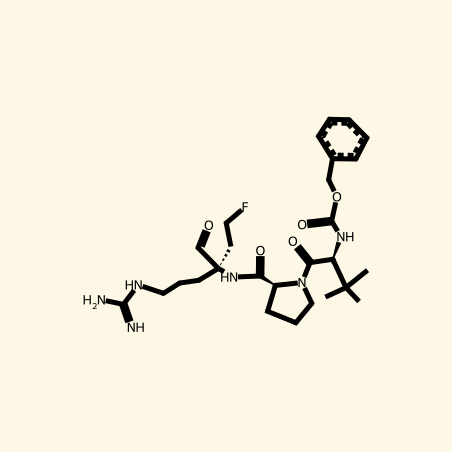 CC(C)(C)[C@H](NC(=O)OCc1ccccc1)C(=O)N1CCC[C@H]1C(=O)N[C@@](C=O)(CCF)CCCNC(=N)N